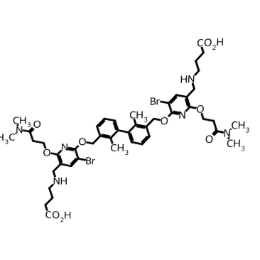 Cc1c(COc2nc(OCCC(=O)N(C)C)c(CNCCCC(=O)O)cc2Br)cccc1-c1cccc(COc2nc(OCCC(=O)N(C)C)c(CNCCCC(=O)O)cc2Br)c1C